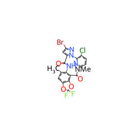 CNC(=O)c1c(NC(=O)c2cc(Br)nn2-c2ncccc2Cl)c(C)cc2c1OC(F)(F)O2